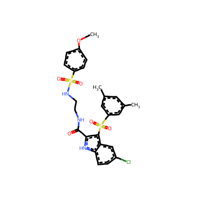 COc1ccc(S(=O)(=O)NCCNC(=O)c2[nH]c3ccc(Cl)cc3c2S(=O)(=O)c2cc(C)cc(C)c2)cc1